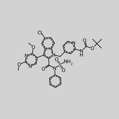 COc1ncc(-c2c(C(=O)N(c3ccccc3)S(N)(=O)=O)n(Cc3ccnc(NC(=O)OC(C)(C)C)c3)c3ccc(Cl)cc23)c(OC)n1